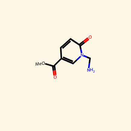 COC(=O)c1ccc(=O)n(CN)c1